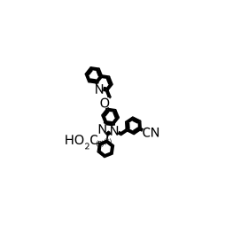 N#Cc1cccc(Cn2c([C@H]3CCCC[C@H]3C(=O)O)nc3cc(OCc4ccc5ccccc5n4)ccc32)c1